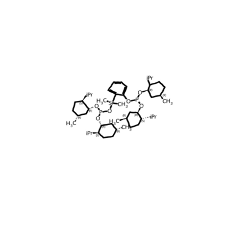 CC(C)C1CC[C@@H](C)C[C@H]1OP(Oc1ccccc1[Si](C)(C)OP(O[C@@H]1C[C@H](C)CC[C@H]1C(C)C)O[C@@H]1C[C@H](C)CC[C@H]1C(C)C)O[C@@H]1C[C@H](C)CC[C@H]1C(C)C